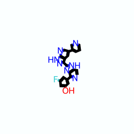 Oc1cc(F)cc(-c2nccc3[nH]c(-c4n[nH]c5ncc(-c6cccnc6)cc45)nc23)c1